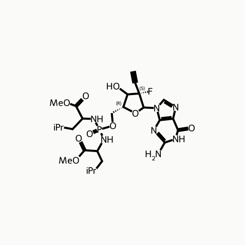 C#C[C@]1(F)C(O)[C@@H](COP(=O)(NC(CC(C)C)C(=O)OC)NC(CC(C)C)C(=O)OC)OC1n1cnc2c(=O)[nH]c(N)nc21